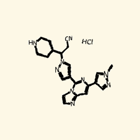 Cl.Cn1cc(-c2cc3nccn3c(-c3cnn(C(CC#N)C4CCNCC4)c3)n2)cn1